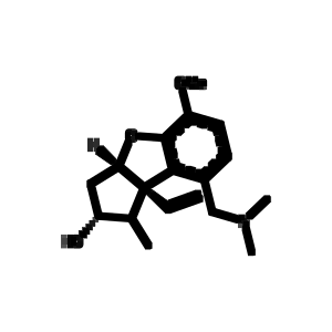 C=C[C@]12c3c(CN(C)C)ccc(OC)c3O[C@H]1C[C@@H](O)C2C